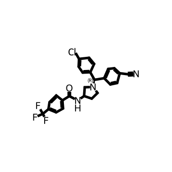 N#Cc1ccc([C@H](c2ccc(Cl)cc2)N2CCC(NC(=O)c3ccc(C(F)(F)F)cc3)C2)cc1